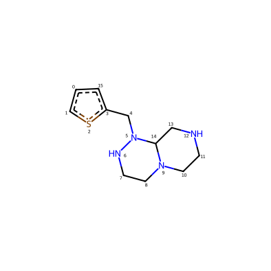 c1csc(CN2NCCN3CCNCC32)c1